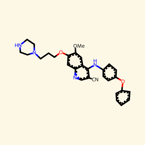 COc1cc2c(Nc3ccc(Oc4ccccc4)cc3)c(C#N)cnc2cc1OCCCN1CCNCC1